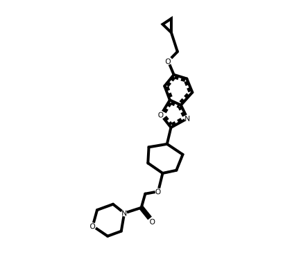 O=C(COC1CCC(c2nc3ccc(OCC4CC4)cc3o2)CC1)N1CCOCC1